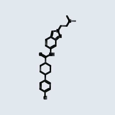 CN(C)CCn1cc2ccc(NC(=O)C3CCC(c4ccc(Cl)cc4)CC3)cc2n1